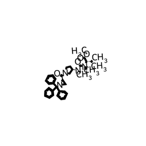 COC(=O)[C@H](C(C)C)N(C)C(=O)N(C)[C@H]1CCN(C(=O)[C@H]2CN2C(c2ccccc2)(c2ccccc2)c2ccccc2)C1